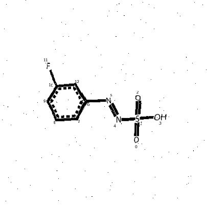 O=S(=O)(O)/N=N/c1cccc(F)c1